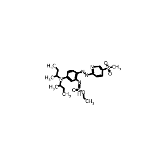 CCO[SH](=O)=Nc1cc(N(C(C)CC)C(C)CC)ccc1N=Nc1ccc(S(C)(=O)=O)cn1